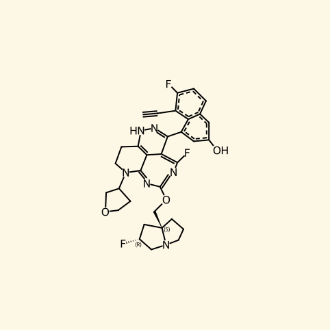 C#Cc1c(F)ccc2cc(O)cc(C3=NNC4=C5C(=NC(OC[C@@]67CCCN6C[C@H](F)C7)=NC(F)=C35)N(C3CCOC3)CC4)c12